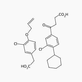 C=CCOc1ccc(CC(=O)O)cc1Cl.O=C(O)CCC(=O)c1ccc(C2CCCCC2)c(Cl)c1